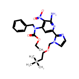 CCOC(=O)N(Cc1ccccc1)c1cc(-c2nccn2COCC[Si](C)(C)C)nc(N)c1[N+](=O)[O-]